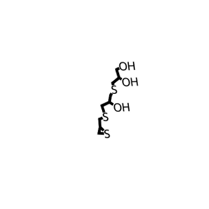 OCC(O)CSCC(O)CSCC1CS1